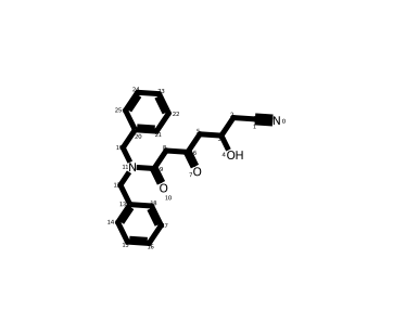 N#CCC(O)CC(=O)CC(=O)N(Cc1ccccc1)Cc1ccccc1